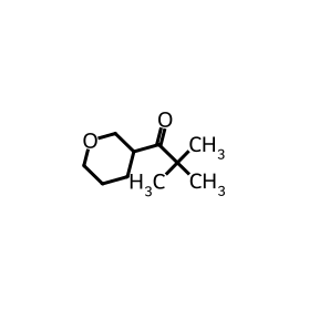 CC(C)(C)C(=O)C1CCCOC1